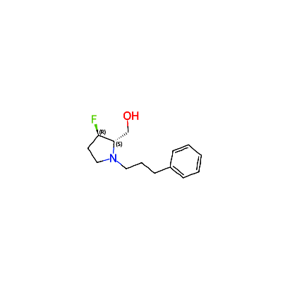 OC[C@H]1[C@H](F)CCN1CCCc1ccccc1